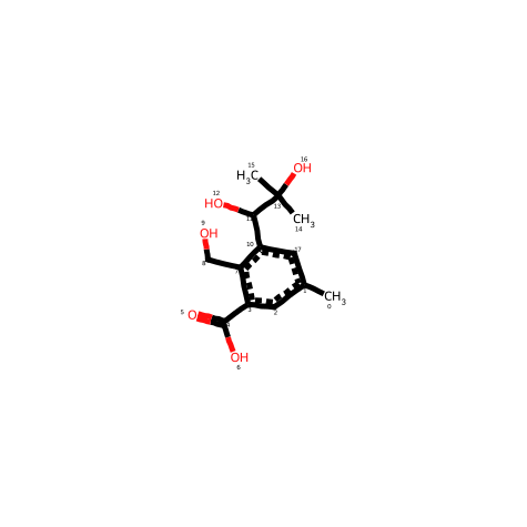 Cc1cc(C(=O)O)c(CO)c(C(O)C(C)(C)O)c1